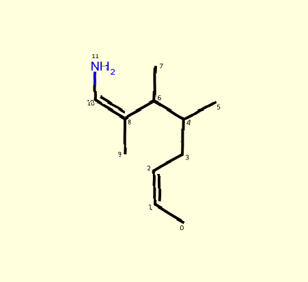 C/C=C\CC(C)C(C)/C(C)=C\N